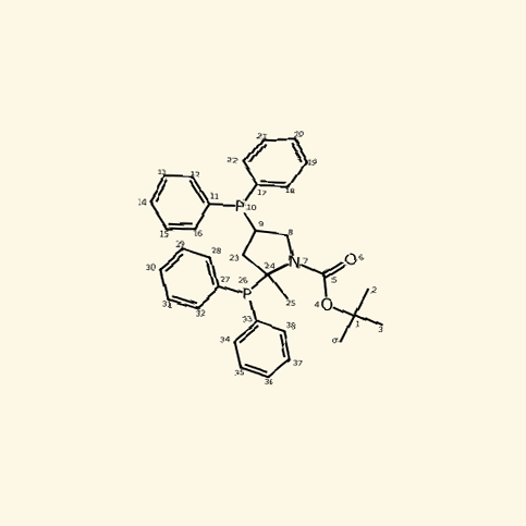 CC(C)(C)OC(=O)N1CC(P(c2ccccc2)c2ccccc2)CC1(C)P(c1ccccc1)c1ccccc1